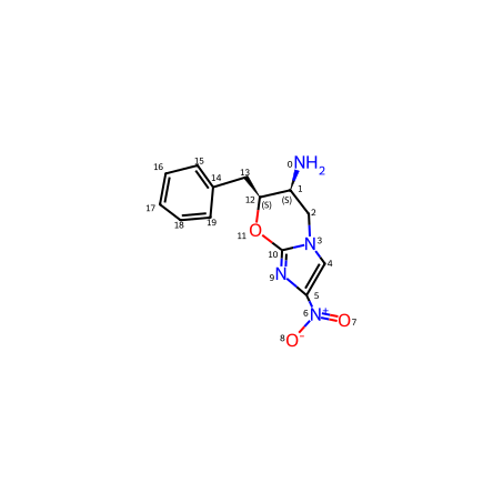 N[C@H]1Cn2cc([N+](=O)[O-])nc2O[C@H]1Cc1ccccc1